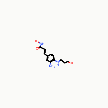 Nc1cc(/C=C/C(=O)NO)ccc1NCCCO